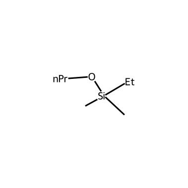 CCCO[Si](C)(C)CC